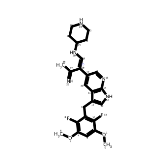 COc1cc(OC)c(F)c(Cc2c[nH]c3ncc(/C(=C/NC4CCNCC4)C(C)=N)cc23)c1F